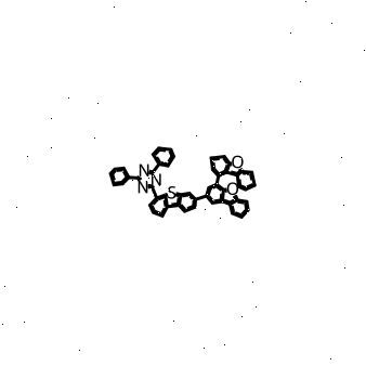 c1ccc(-c2nc(-c3ccccc3)nc(-c3cccc4c3sc3cc(-c5cc(-c6cccc7oc8ccccc8c67)c6oc7ccccc7c6c5)ccc34)n2)cc1